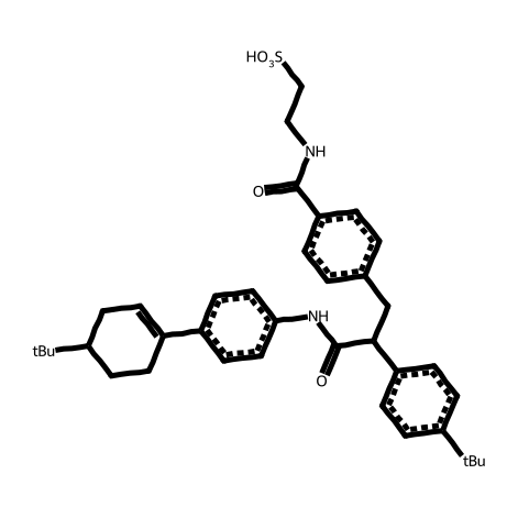 CC(C)(C)c1ccc(C(Cc2ccc(C(=O)NCCS(=O)(=O)O)cc2)C(=O)Nc2ccc(C3=CCC(C(C)(C)C)CC3)cc2)cc1